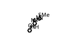 CSc1nccc(-n2cnc3cc(NC(=O)c4ccccc4)ccc32)n1